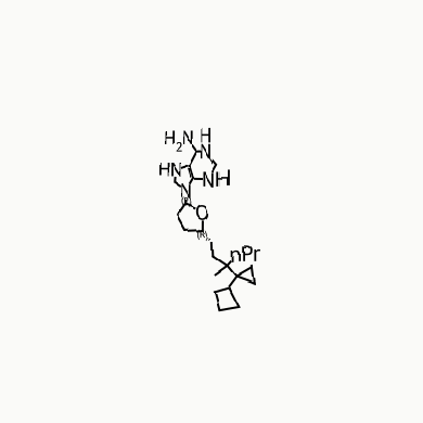 CCCC(C)(CC[C@@H]1CC[C@H](N2CNC3=C2NCNC3N)O1)C1(C2CCC2)CC1